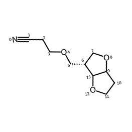 N#CCCOC[C@@H]1COC2CCOC21